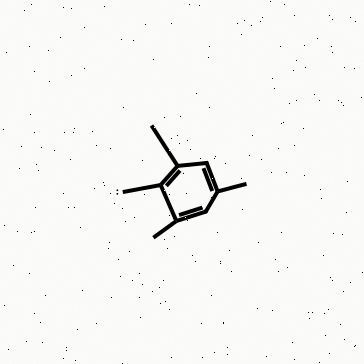 [CH]c1c(C)cc(C)cc1C